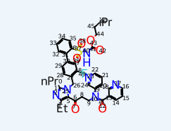 CCCc1nc(CC)c(C(=O)CCN(C(=O)c2cccnc2)c2cccnc2)n1Cc1ccc(-c2ccccc2S(=O)(=O)NC(=O)OCCC(C)C)cc1F